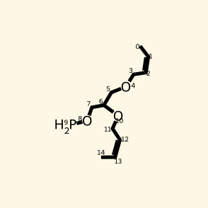 C/C=C\COCC(COP)OC/C=C\C